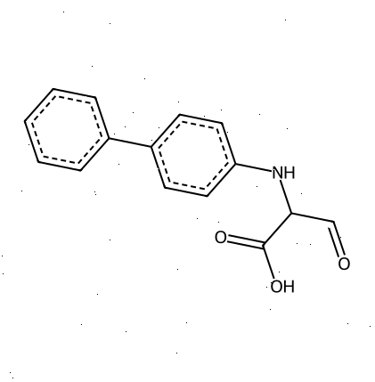 O=CC(Nc1ccc(-c2ccccc2)cc1)C(=O)O